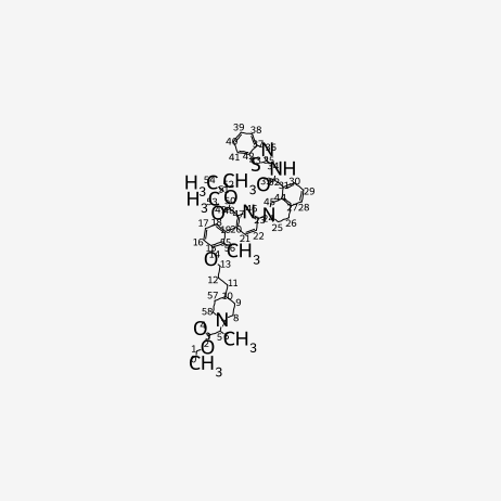 CCOC(=O)C(C)N1CCC(CCCOc2cccc(-c3ccc(N4CCc5cccc(C(=O)Nc6nc7ccccc7s6)c5C4)nc3C(=O)OC(C)(C)C)c2C)CC1